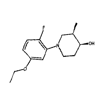 CCOc1ccc(F)c(N2CC[C@H](O)[C@H](C)C2)c1